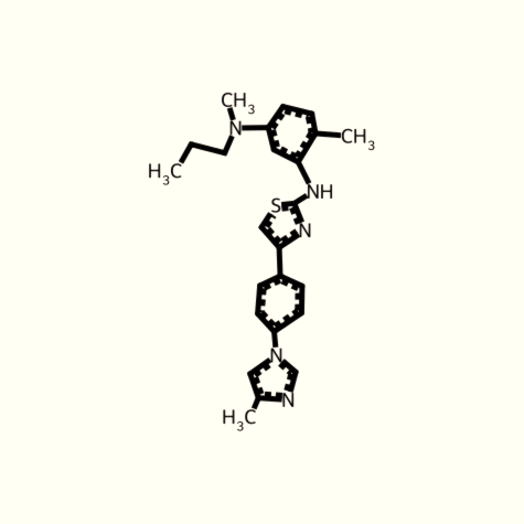 CCCN(C)c1ccc(C)c(Nc2nc(-c3ccc(-n4cnc(C)c4)cc3)cs2)c1